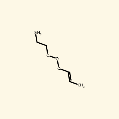 CC=COOOCC[SiH3]